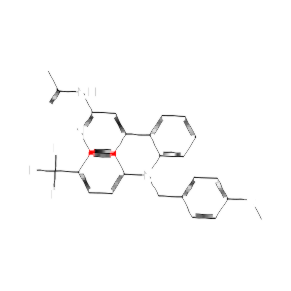 COc1ccc(CN(c2ccc(C(F)(F)F)cc2)c2ccccc2-c2ccnc(NC(C)=O)c2)cc1